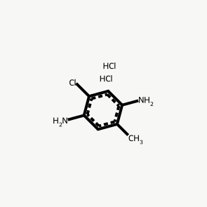 Cc1cc(N)c(Cl)cc1N.Cl.Cl